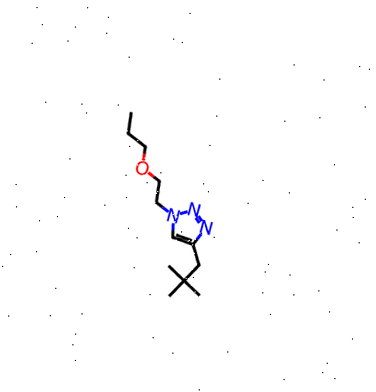 CCCOCCn1cc(CC(C)(C)C)nn1